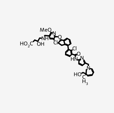 COc1nc(O[C@H]2CCc3c(-c4cccc(C(=O)Nc5ccc(CN6C=CC=CC(C)(CO)C6)cn5)c4Cl)cccc32)c(Cl)cc1CNCC(O)CC(=O)O